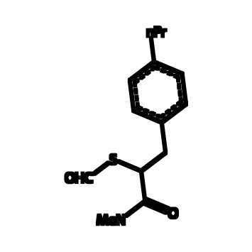 CCCc1ccc(CC(SC=O)C(=O)NC)cc1